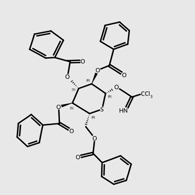 N=C(O[C@@H]1S[C@H](COC(=O)c2ccccc2)[C@@H](OC(=O)c2ccccc2)[C@H](OC(=O)c2ccccc2)[C@H]1OC(=O)c1ccccc1)C(Cl)(Cl)Cl